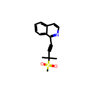 CC(C)(C#Cc1nccc2ccccc12)S(C)(=O)=O